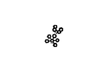 c1ccc(-c2nc(-c3ccccc3)c(-c3ccccc3)c(-c3ccc(-n4c5ccc6ccccc6c5c5c6ccccc6ccc54)cc3)c2-c2ccccc2)cc1